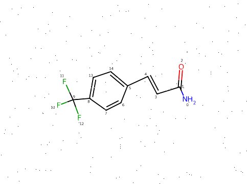 NC(=O)C=Cc1ccc(C(F)(F)F)cc1